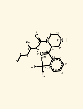 CCCC(F)OC(=O)N1CCNCC1C(=O)c1ccccc1C(F)(F)F